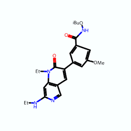 CCNc1cc2c(cn1)cc(-c1cc(OC)cc(C(=O)NOCC(C)C)c1)c(=O)n2CC